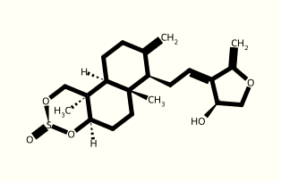 C=C1OC[C@@H](O)/C1=C\C[C@@H]1C(=C)CC[C@@H]2[C@]3(C)CO[S@](=O)O[C@@H]3CC[C@]21C